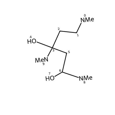 CNCCC(O)(CC(O)NC)NC